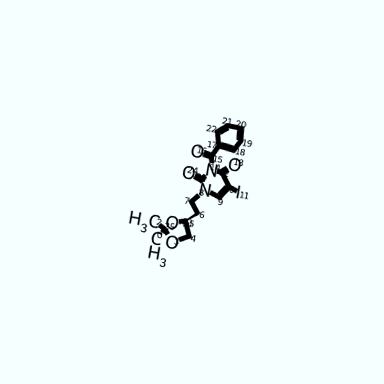 CC1(C)OC[C@H](CCn2cc(I)c(=O)n(C(=O)c3ccccc3)c2=O)O1